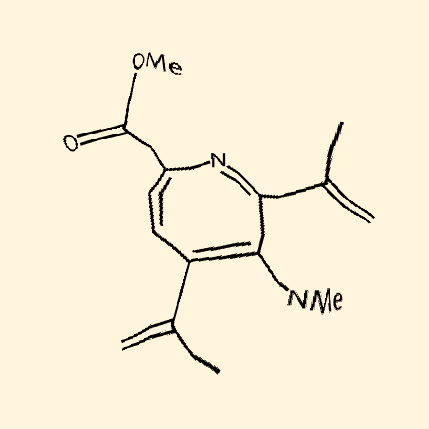 C=C(C)c1cc(C(=O)OC)nc(C(=C)C)c1NC